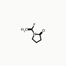 C=C(F)N1CCCC1=O